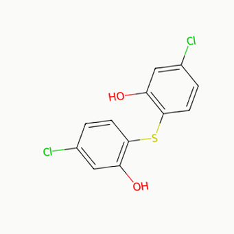 Oc1cc(Cl)ccc1Sc1ccc(Cl)cc1O